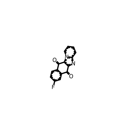 O=C1c2cc(F)ccc2C(=O)c2c1nc1ccccn21